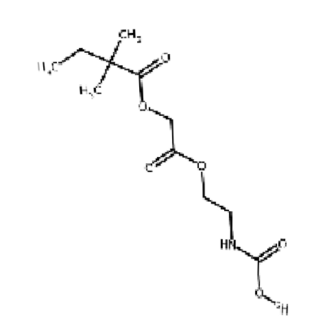 [3H]OC(=O)NCCOC(=O)COC(=O)C(C)(C)CC